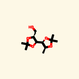 C[C@@H]1OC(C)(C)O[C@H]1[C@H]1OC(C)(C)O[C@@H]1CO